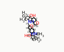 CCCC(O)(c1ccc2occc2c1)C(C)NCc1cc2cc(C(O)(CC)C(C)NC)ccc2o1